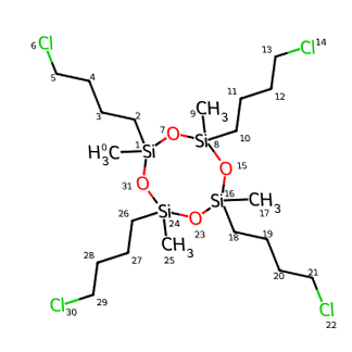 C[Si]1(CCCCCl)O[Si](C)(CCCCCl)O[Si](C)(CCCCCl)O[Si](C)(CCCCCl)O1